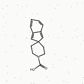 O=C(O)N1CCC2(C=c3ccccc3=C2)CC1